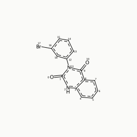 O=c1[nH]c2ccccc2c(=O)n1-c1cccc(Br)c1